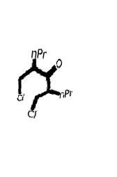 CCCC(CCl)C(=O)C(CCl)CCC